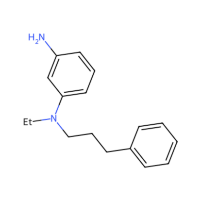 CCN(CCCc1ccccc1)c1cccc(N)c1